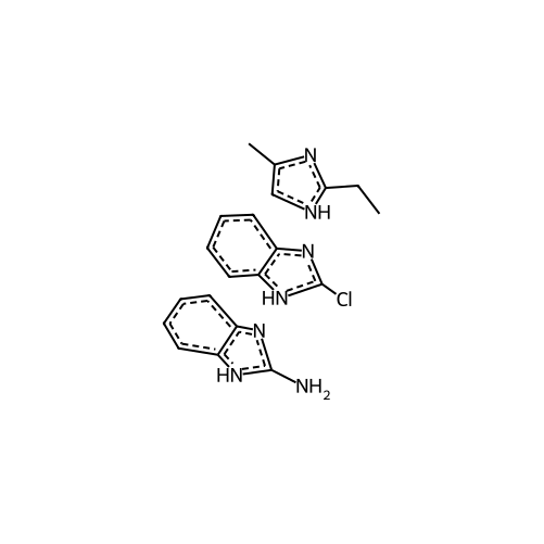 CCc1nc(C)c[nH]1.Clc1nc2ccccc2[nH]1.Nc1nc2ccccc2[nH]1